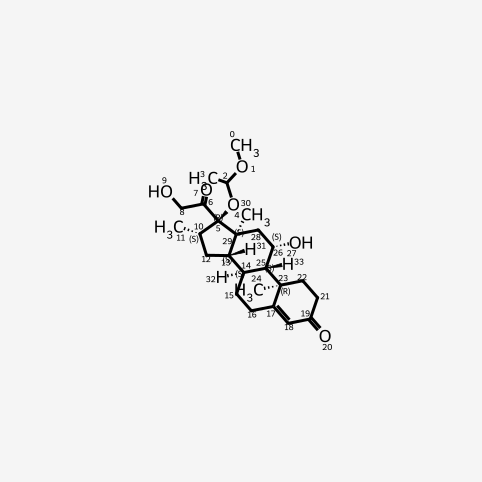 COC(C)O[C@]1(C(=O)CO)[C@@H](C)C[C@H]2[C@@H]3CCC4=CC(=O)CC[C@]4(C)[C@H]3[C@@H](O)C[C@@]21C